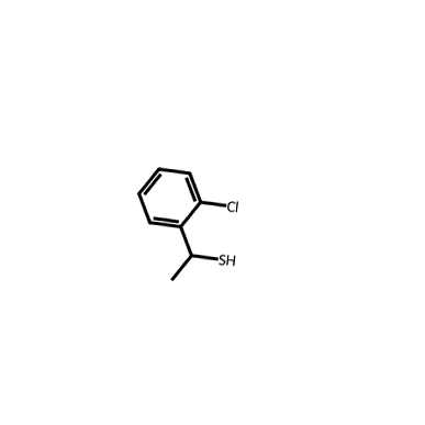 CC(S)c1ccccc1Cl